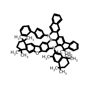 Cc1cc2c(cc1N1c3cc4oc5cc6c(cc5c4cc3B3c4c(cc5c(c41)C(C)(C)c1ccccc1-5)-c1cc4ccccc4cc1N3c1ccc(-c3ccccc3)cc1)C(C)(C)CCC6(C)C)C(C)(C)CCC2(C)C